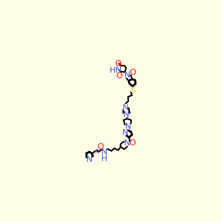 O=C(/C=C/c1cccnc1)NCCCCC1CCN(C(=O)c2ccc(N3CCC(N4CCN(CCCCCSc5ccc6c(c5)CN(C5CCC(=O)NC5=O)C6=O)CC4)CC3)nc2)CC1